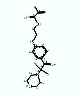 C=C(C)C(=O)OCCSc1ccc(C(=O)C(C)(C)N2CCOCC2)cc1